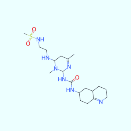 CC1=NC(NC(=O)NC2CCC3=NCCCC3C2)N(C)C(NCCNS(C)(=O)=O)C1